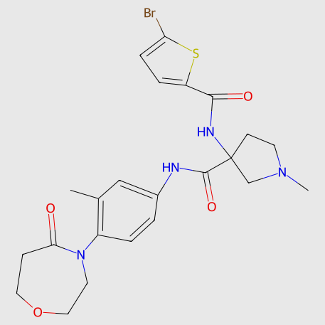 Cc1cc(NC(=O)C2(NC(=O)c3ccc(Br)s3)CCN(C)C2)ccc1N1CCOCCC1=O